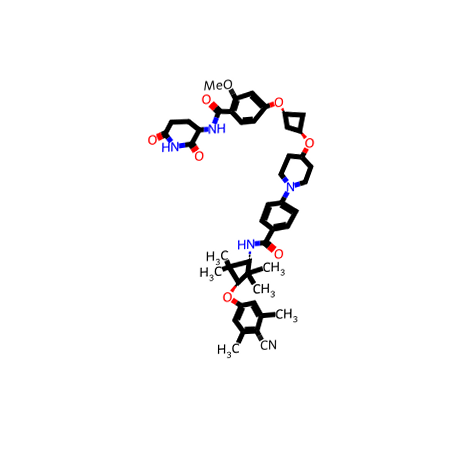 COc1cc(O[C@H]2C[C@H](OC3CCN(c4ccc(C(=O)N[C@H]5C(C)(C)[C@H](Oc6cc(C)c(C#N)c(C)c6)C5(C)C)cc4)CC3)C2)ccc1C(=O)NC1CCC(=O)NC1=O